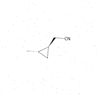 C[C@H]1C[C@@H]1CC#N